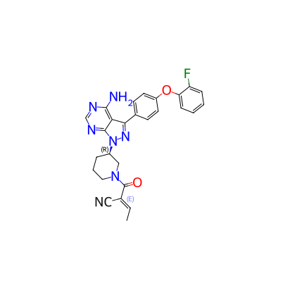 C/C=C(\C#N)C(=O)N1CCC[C@@H](n2nc(-c3ccc(Oc4ccccc4F)cc3)c3c(N)ncnc32)C1